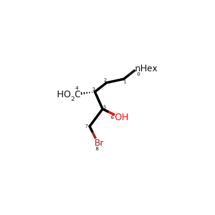 CCCCCCCC[C@@H](C(=O)O)C(O)CBr